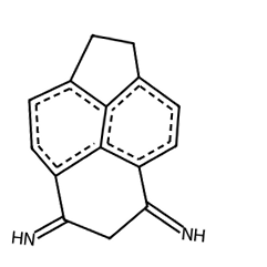 N=C1CC(=N)c2ccc3c4c(ccc1c24)CC3